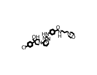 O=C(NCCCN1CCOCC1)c1ccc(Nc2nc3c(N4CCC(CO)(c5ccc(Cl)cc5)CC4)cccn3n2)cc1